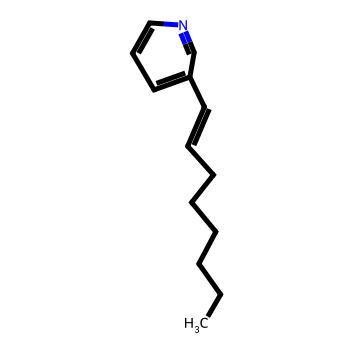 CCCCCCC=Cc1cccnc1